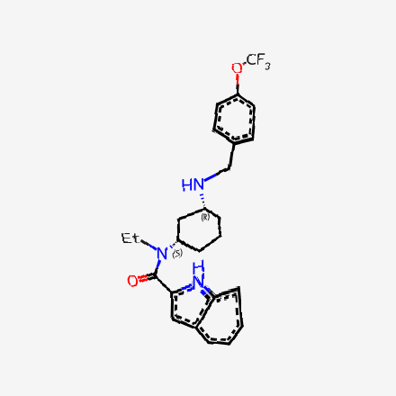 CCN(C(=O)c1cc2ccccc2[nH]1)[C@H]1CCC[C@@H](NCc2ccc(OC(F)(F)F)cc2)C1